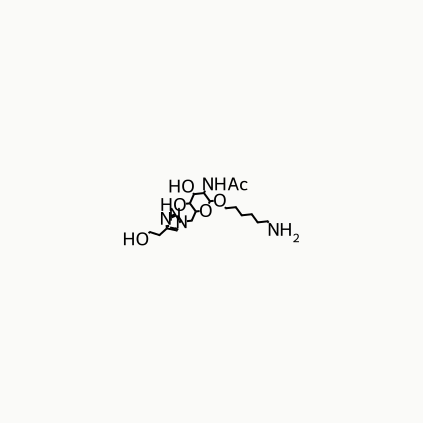 CC(=O)NC1C(OCCCCCCN)OC(Cn2cc(CCO)nn2)C(O)C1O